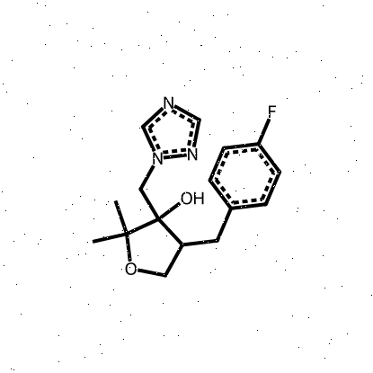 CC1(C)OCC(Cc2ccc(F)cc2)C1(O)Cn1cncn1